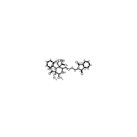 CCC1(C(=O)O)C(COCCN2C(=O)c3ccccc3C2=O)NC(C)C(C)(C(=O)O)C1c1ccccc1Cl